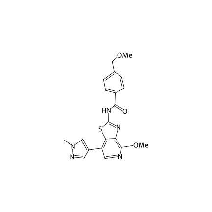 COCc1ccc(C(=O)Nc2nc3c(OC)ncc(-c4cnn(C)c4)c3s2)cc1